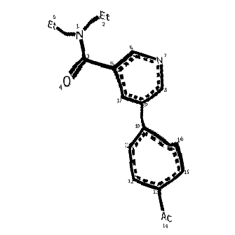 CCN(CC)C(=O)c1cncc(-c2ccc(C(C)=O)cc2)c1